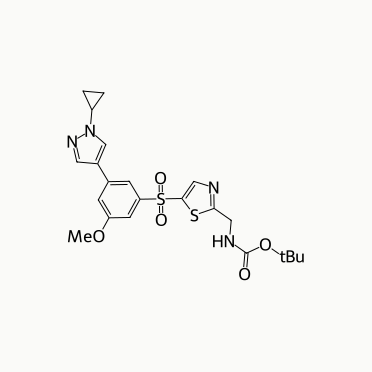 COc1cc(-c2cnn(C3CC3)c2)cc(S(=O)(=O)c2cnc(CNC(=O)OC(C)(C)C)s2)c1